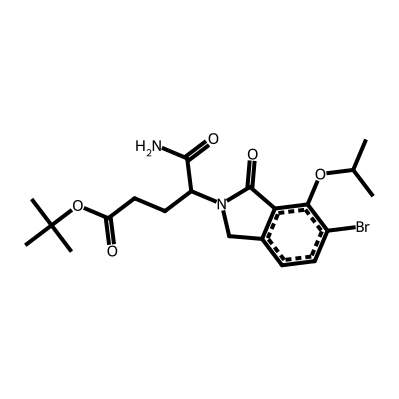 CC(C)Oc1c(Br)ccc2c1C(=O)N(C(CCC(=O)OC(C)(C)C)C(N)=O)C2